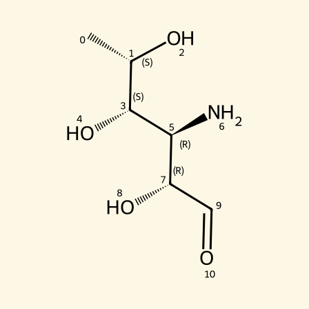 C[C@H](O)[C@@H](O)[C@@H](N)[C@@H](O)C=O